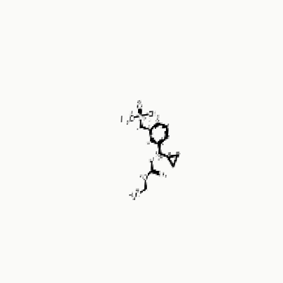 CCOC(=O)C[C@H](c1cccc(CP(C)(C)=O)c1)C1CC1